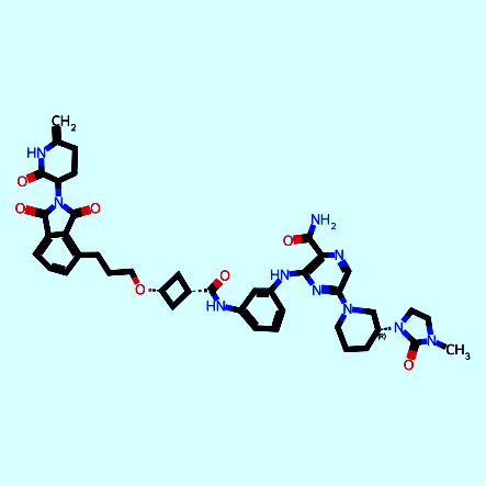 C=C1CCC(N2C(=O)c3cccc(CCCO[C@H]4C[C@@H](C(=O)Nc5cccc(Nc6nc(N7CCC[C@@H](N8CCN(C)C8=O)C7)cnc6C(N)=O)c5)C4)c3C2=O)C(=O)N1